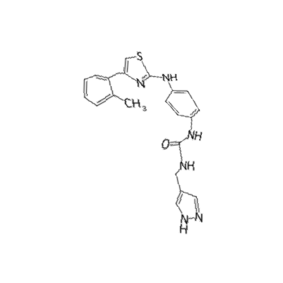 Cc1ccccc1-c1csc(Nc2ccc(NC(=O)NCc3cn[nH]c3)cc2)n1